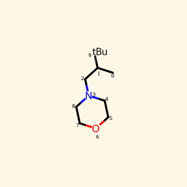 CC(CN1CCOCC1)C(C)(C)C